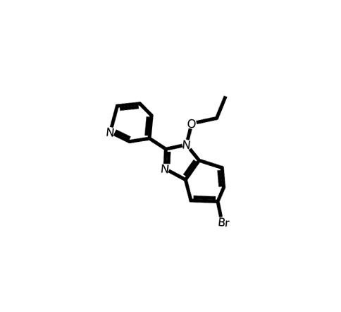 CCOn1c(-c2cccnc2)nc2cc(Br)ccc21